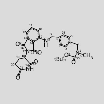 CN(Cc1ccc(CNc2cccc3c2C(=O)N(C2CCC(=O)NC2=O)C3=O)cc1)C(=O)OC(C)(C)C